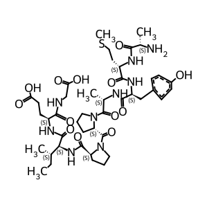 CC[C@H](C)[C@H](NC(=O)[C@@H]1CCCN1C(=O)[C@@H]1CCCN1C(=O)[C@H](C)NC(=O)[C@H](Cc1ccc(O)cc1)NC(=O)[C@H](CCSC)NC(=O)[C@H](C)N)C(=O)N[C@@H](CCC(=O)O)C(=O)NCC(=O)O